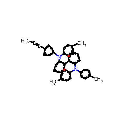 CB=Bc1ccc(N(c2ccc(C)cc2)c2ccccc2-c2ccccc2N(c2ccc(C)cc2)c2ccc(C)cc2)cc1